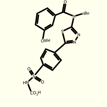 CCCCN(C(=O)c1cccc(OC)c1)c1nnc(-c2ccc(S(=O)(=O)NC(=O)O)cc2)s1